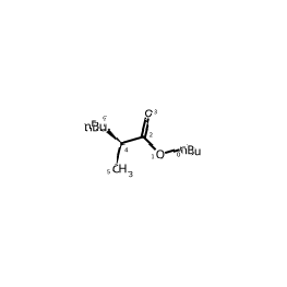 CCCCOC(=O)[C@@H](C)CCCC